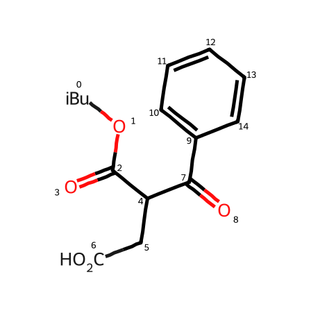 CCC(C)OC(=O)C(CC(=O)O)C(=O)c1ccccc1